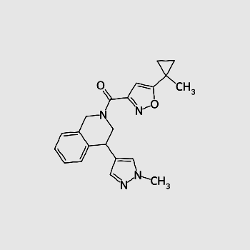 Cn1cc(C2CN(C(=O)c3cc(C4(C)CC4)on3)Cc3ccccc32)cn1